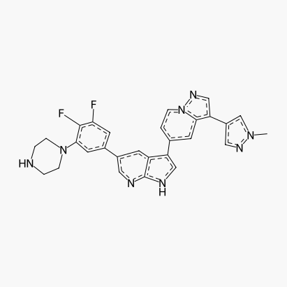 Cn1cc(-c2cnn3ccc(-c4c[nH]c5ncc(-c6cc(F)c(F)c(N7CCNCC7)c6)cc45)cc23)cn1